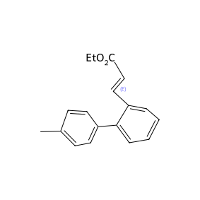 CCOC(=O)/C=C/c1ccccc1-c1ccc(C)cc1